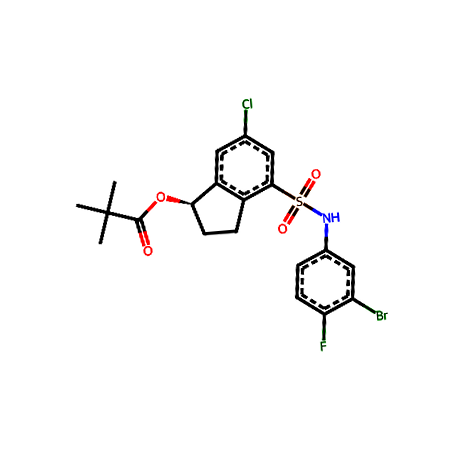 CC(C)(C)C(=O)O[C@@H]1CCc2c1cc(Cl)cc2S(=O)(=O)Nc1ccc(F)c(Br)c1